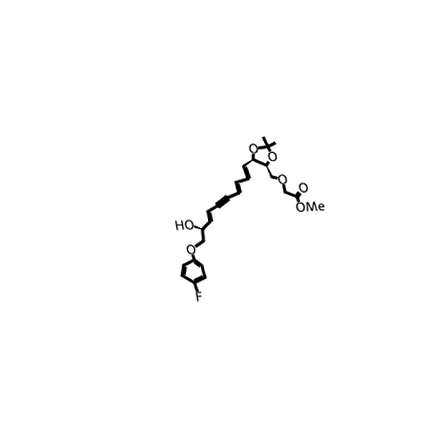 COC(=O)COC[C@@H]1OC(C)(C)O[C@@H]1C=CC=CC#CC=C[C@H](O)COc1ccc(F)cc1